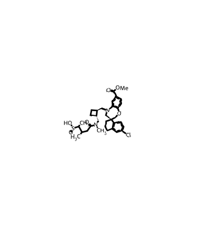 COC(=O)c1ccc2c(c1)N(C[C@@H]1CC[C@H]1CN(C)C(=O)CC(C)C(C)S(=O)O)C[C@@]1(CCCc3cc(Cl)ccc31)CO2